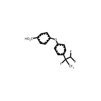 O=C(O)c1ccc(Oc2ccc(C(F)(C(F)F)C(F)(F)F)cc2)cc1